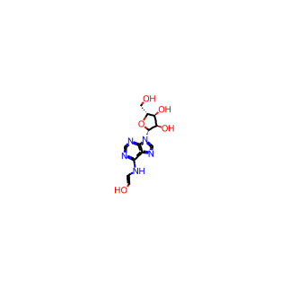 OC=CNc1ncnc2c1ncn2[C@@H]1O[C@H](CO)[C@@H](O)[C@H]1O